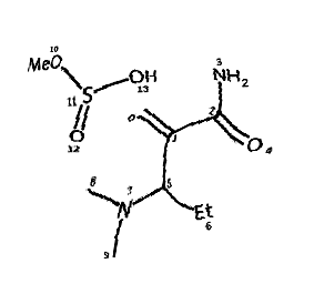 C=C(C(N)=O)C(CC)N(C)C.COS(=O)O